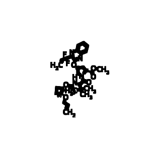 C=CCO[C@@H]1CC[C@H]1OC(=O)N[C@H](C(=O)N1C[C@H](Oc2nc3ccccc3nc2C(F)(F)C=C)C[C@H]1C(=O)OC)C(C)(C)C